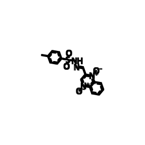 Cc1ccc(S(=O)(=O)N/N=C/c2c[n+]([O-])c3ccccc3[n+]2[O-])cc1